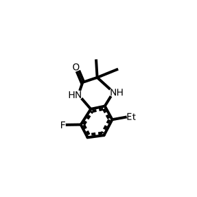 CCc1ccc(F)c2c1NC(C)(C)C(=O)N2